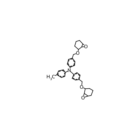 Cc1ccc(N(c2ccc(COC3CCCC4OC34)cc2)c2ccc(COC3CCCC4OC34)cc2)cc1